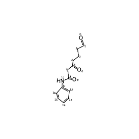 O=CCCCC(=O)CC(=O)Nc1ccccc1